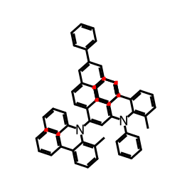 Cc1cccc(-c2ccccc2)c1N(c1ccccc1)c1cc(N(c2ccccc2)c2c(C)cccc2-c2ccccc2)c2ccc3cc(-c4ccccc4)cc4ccc1c2c43